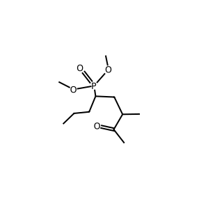 CCCC(CC(C)C(C)=O)P(=O)(OC)OC